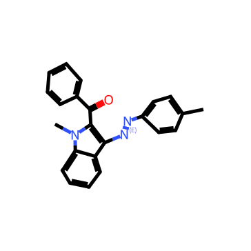 Cc1ccc(/N=N/c2c(C(=O)c3ccccc3)n(C)c3ccccc23)cc1